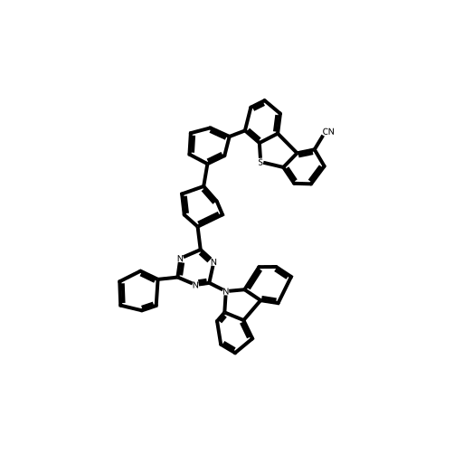 N#Cc1cccc2sc3c(-c4cccc(-c5ccc(-c6nc(-c7ccccc7)nc(-n7c8ccccc8c8ccccc87)n6)cc5)c4)cccc3c12